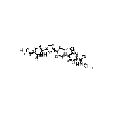 CCc1ccc(C2CCN(C3CCN(c4ccc(C(=O)NC)nc4Cl)CC3)C2)[nH]c1=O